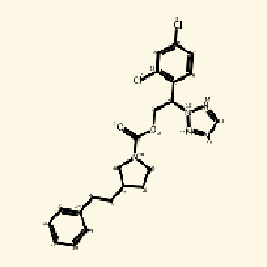 O=C(OCC(c1ccc(Cl)cc1Cl)n1ncnn1)N1CCC(CCc2ccccc2)C1